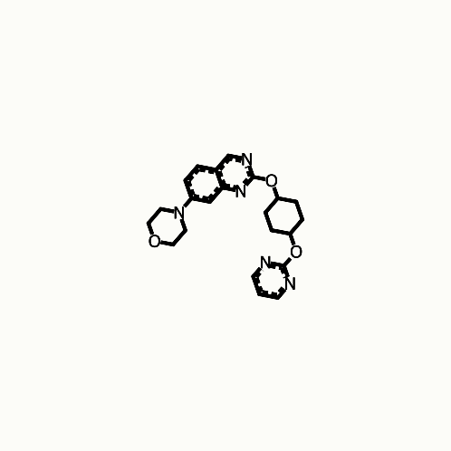 c1cnc(OC2CCC(Oc3ncc4ccc(N5CCOCC5)cc4n3)CC2)nc1